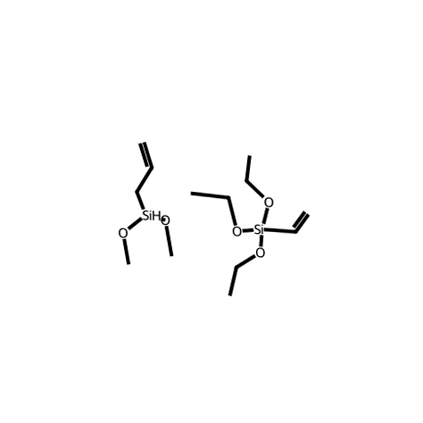 C=CC[SiH](OC)OC.C=C[Si](OCC)(OCC)OCC